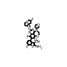 N#Cc1c(N)sc2c(F)ccc(-c3c(Cl)c4c5c(nc(OC[C@@]67CCCN6C[C@H](F)C7)nc5c3F)N([C@H]3CCOC3)CCO4)c12